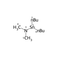 CCC[CH2][Sn]([CH2]CCC)[N](C)C